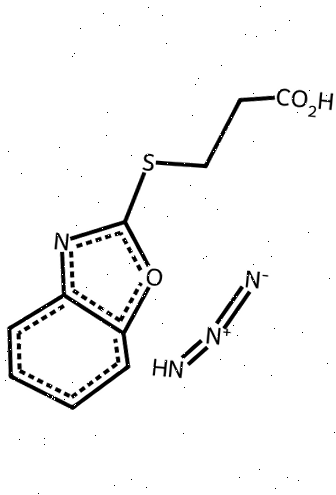 O=C(O)CCSc1nc2ccccc2o1.[N-]=[N+]=N